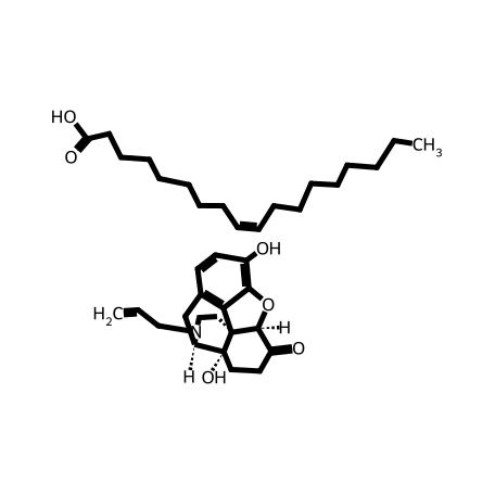 C=CCN1CC[C@]23c4c5ccc(O)c4O[C@H]2C(=O)CC[C@@]3(O)[C@H]1C5.CCCCCCCC/C=C\CCCCCCCC(=O)O